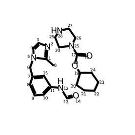 Cc1nccn1Cc1cccc(NC=O)c1.O=C(OC1CCCCC1)N1CCNCC1